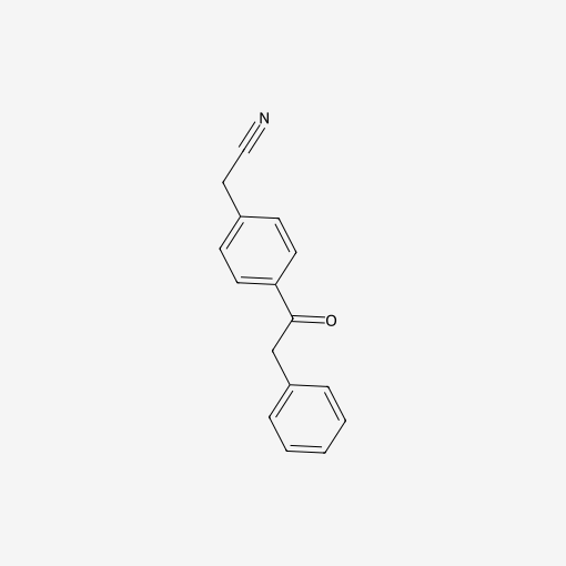 N#CCc1ccc(C(=O)Cc2ccccc2)cc1